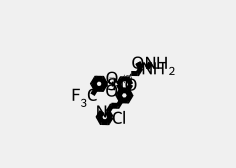 NNC(=O)CC[C@H]1CN(S(=O)(=O)c2cccc(C(F)(F)F)c2)c2cc(C=Cc3ncccc3Cl)ccc2O1